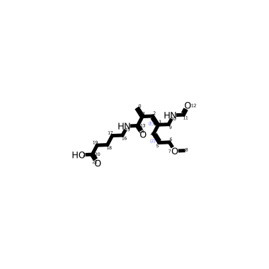 C=C(/C=C(\C=C/COC)CNC=O)C(=O)NCCCCC(=O)O